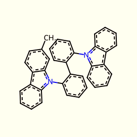 Cc1ccc2c3ccccc3n(-c3ccccc3-c3ccccc3-n3c4ccccc4c4ccccc43)c2c1